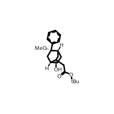 CO[C@@]1(c2ccccc2)C[C@H]2CC[C@@H]1C[C@]2(O)CC(=O)OC(C)(C)C